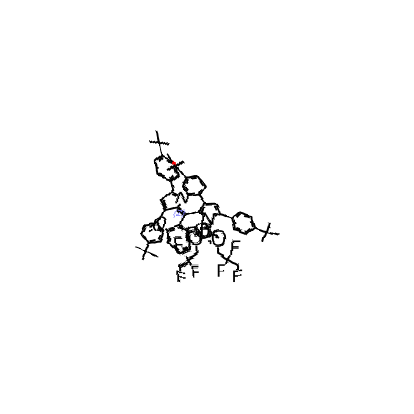 COc1cccc(OC)c1/C(=C1/N=C(c2ccc(C(C)(C)C)cc2)C=C1c1ccc(C(C)(C)C)cc1)c1c(-c2ccc(C(C)(C)C)cc2)cc(-c2ccc(C(C)(C)C)cc2)n1B(OCC(F)(F)CF)OCC(F)(F)CF